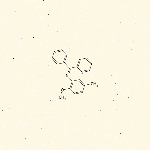 COc1ccc(C)cc1N=C(c1ccccc1)c1ccccn1